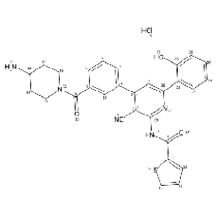 Cl.N#Cc1c(-c2cccc(C(=O)N3CCC(N)CC3)c2)cc(-c2ccccc2O)nc1NC(=O)c1cccs1